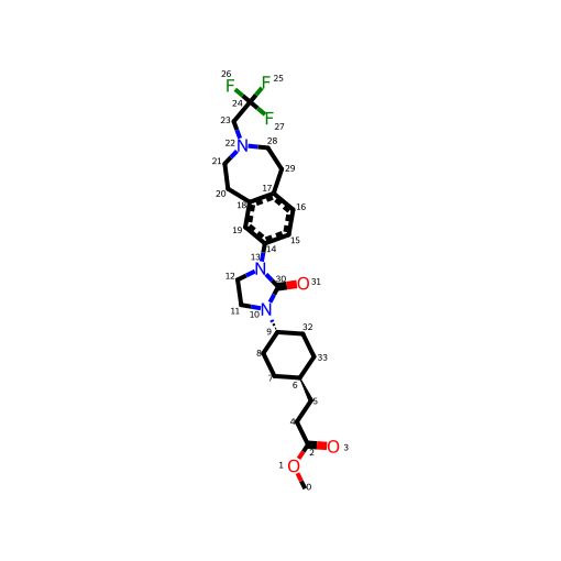 COC(=O)CC[C@H]1CC[C@H](N2CCN(c3ccc4c(c3)CCN(CC(F)(F)F)CC4)C2=O)CC1